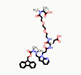 C[C@@H](C(=O)O)N(C)C(=O)CCOCCOCCNC(=O)[C@H](CCC(=O)O)NC(=O)CCn1c(CN(C)N(C)C(=O)OCC2c3ccccc3-c3ccccc32)cc2cccnc21